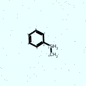 [CH2][SiH2]c1ccccc1